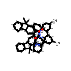 CC1(C)c2ccccc2-c2cc3c4ccccc4n(-c4c(-c5ccccn5)cc(C#N)cc4-c4cc(C#N)ccc4-n4c5c(c6ccccc64)=CC4c6ccccc6C(C)(C)C4C=5)c3cc21